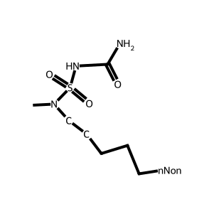 CCCCCCCCCCCCCCN(C)S(=O)(=O)NC(N)=O